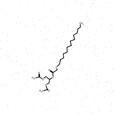 CCCCCCCCCCCCCCSCC(=O)OC(COC(C)=O)COC(C)=O